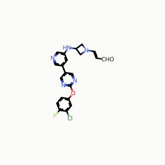 O=CC=CN1CC(Nc2cncc(-c3cnc(Oc4ccc(F)c(Cl)c4)nc3)c2)C1